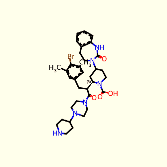 Cc1cc(CC(C(=O)N2CCN(C3CCNCC3)CC2)[C@H]2CC(N3CCc4ccccc4NC3=O)CCN2C(=O)O)cc(C)c1Br